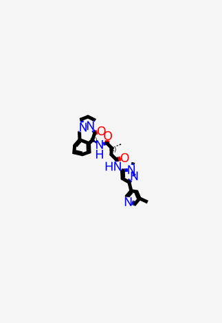 Cc1cncc(-c2cc(NC(=O)C[C@@H](C)C(=O)N[C@@H]3C(=O)N4CCCN4Cc4ccccc43)n(C)n2)c1